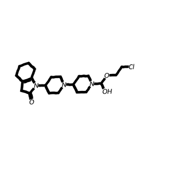 O=C1CC2=C(CCCC2)N1C1CCN(C2CCN(C(O)OCCCl)CC2)CC1